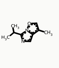 Cc1con2c(C(C)C)ncc12